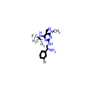 Cn1ncc2c(NC(C)(C)C(F)(F)F)nc(NC[C@H](N)c3cccc(Br)c3)nc21